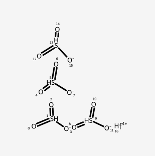 O=[SH](=O)[O-].O=[SH](=O)[O-].O=[SH](=O)[O-].O=[SH](=O)[O-].[Hf+4]